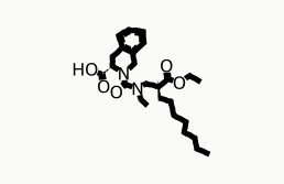 CCCCCCCC[C@@H](CN(CC)C(=O)N1Cc2ccccc2C[C@H]1C(=O)O)C(=O)OCC